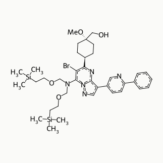 CO[C@]1(CO)CC[C@@H](c2nc3c(-c4ccc(-c5ccccc5)nc4)cnn3c(N(COCC[Si](C)(C)C)COCC[Si](C)(C)C)c2Br)CC1